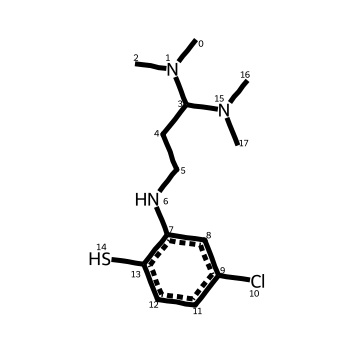 CN(C)C(CCNc1cc(Cl)ccc1S)N(C)C